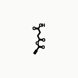 C#CC(=O)OC(=O)CCC(=O)O